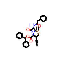 CC#CC1=C(C(=O)OC(c2ccccc2)c2ccccc2)N2C(=O)C(NC(=O)Cc3ccccc3)[C@H]2SC1